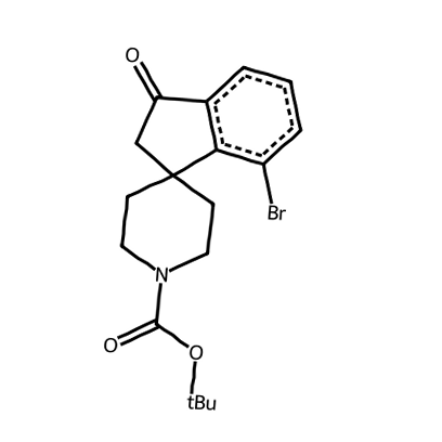 CC(C)(C)OC(=O)N1CCC2(CC1)CC(=O)c1cccc(Br)c12